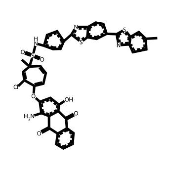 Cc1ccc2nc(-c3ccc4nc(-c5ccc(NS(=O)(=O)C6(C)C=CC=C(Oc7cc(O)c8c(c7N)C(=O)c7ccccc7C8=O)C(Cl)=C6)cc5)sc4c3)sc2c1